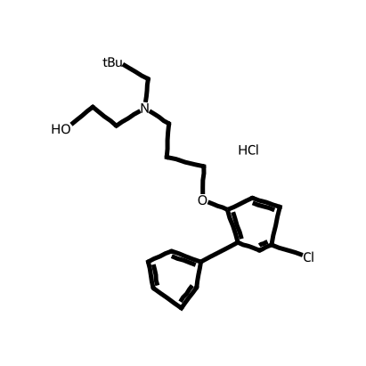 CC(C)(C)CN(CCO)CCCOc1ccc(Cl)cc1-c1ccccc1.Cl